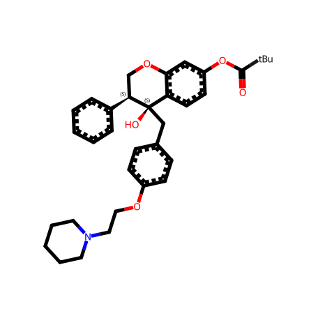 CC(C)(C)C(=O)Oc1ccc2c(c1)OC[C@H](c1ccccc1)[C@@]2(O)Cc1ccc(OCCN2CCCCC2)cc1